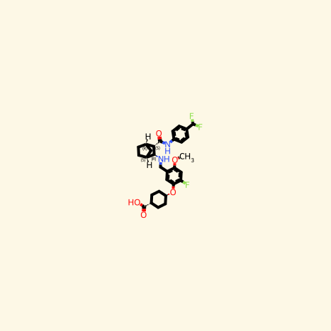 COc1cc(F)c(O[C@H]2CC[C@@H](C(=O)O)CC2)cc1CN[C@@H]1[C@H]2CC[C@H](C2)[C@@H]1C(=O)Nc1ccc(C(F)F)cc1